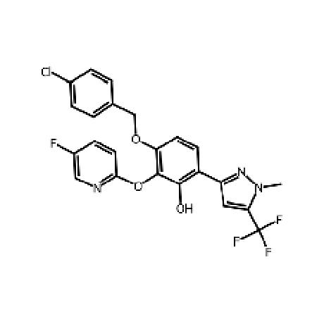 Cn1nc(-c2ccc(OCc3ccc(Cl)cc3)c(Oc3ccc(F)cn3)c2O)cc1C(F)(F)F